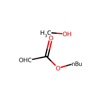 CCCCOC(=O)C=O.CO